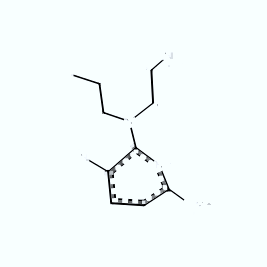 COc1ccc([N+](=O)[O-])c(N(CCN)CCO)n1